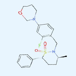 C[C@H]1CC[C@H](c2ccccc2)S(=O)(=O)N1Cc1ccc(N2CCCOC2)cc1F